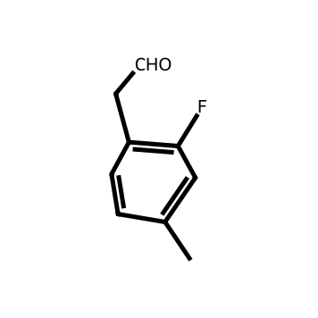 Cc1ccc(CC=O)c(F)c1